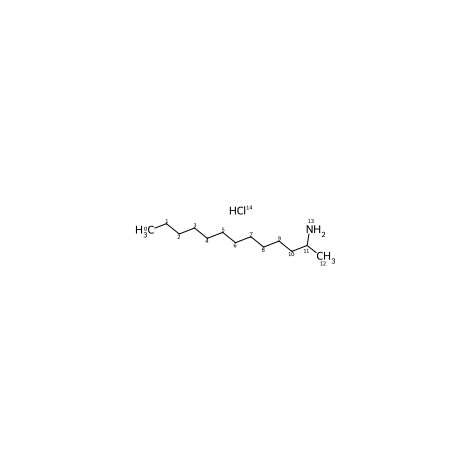 CCCCCCCCCCCC(C)N.Cl